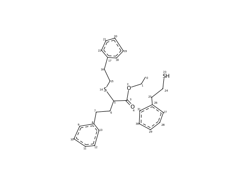 CCOC(=O)C(CCc1ccccc1)SCCc1ccccc1.SCCc1ccccc1